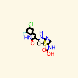 C[C@H](Nc1ncc(NC(=O)O)s1)c1cc2cc(Cl)cc(F)c2[nH]c1=O